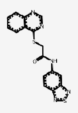 O=C(CSc1ncnc2ccccc12)Nc1ccc2nsnc2c1